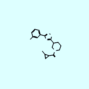 CC1CC1C(=O)N1CCCC(c2nc(-c3cccc(Cl)c3)no2)C1